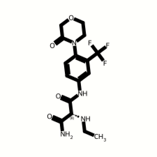 CCN[C@H](C(N)=O)C(=O)Nc1ccc(N2CCOCC2=O)c(C(F)(F)F)c1